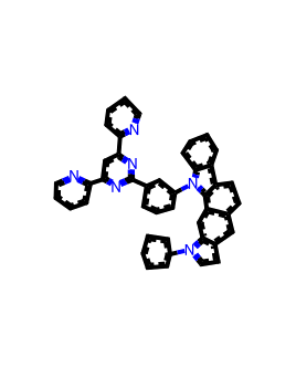 c1ccc(-n2ccc3cc4ccc5c6ccccc6n(-c6cccc(-c7nc(-c8ccccn8)cc(-c8ccccn8)n7)c6)c5c4cc32)cc1